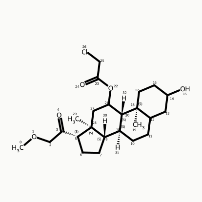 COCC(=O)[C@H]1CC[C@H]2[C@@H]3CCC4CC(O)CC[C@]4(C)[C@H]3C(OC(=O)CCl)C[C@]12C